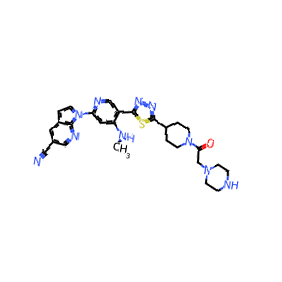 CNc1cc(-n2ccc3cc(C#N)cnc32)ncc1-c1nnc(C2CCN(C(=O)CN3CCNCC3)CC2)s1